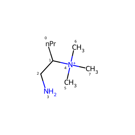 CCCC(CN)[N+](C)(C)C